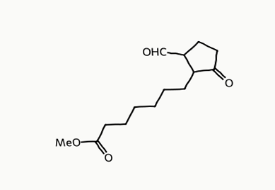 COC(=O)CCCCCCC1C(=O)CCC1C=O